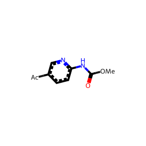 COC(=O)Nc1ccc(C(C)=O)cn1